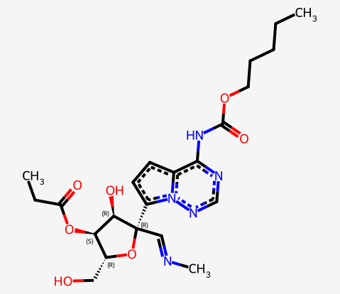 CCCCCOC(=O)Nc1ncnn2c([C@]3(C=NC)O[C@H](CO)[C@@H](OC(=O)CC)[C@H]3O)ccc12